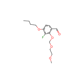 CCCCOc1ccc(C=O)c(OCOCCOC)c1F